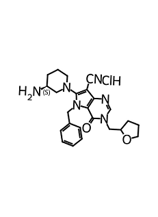 Cl.N#Cc1c(N2CCC[C@H](N)C2)n(Cc2ccccc2)c2c(=O)n(CC3CCCO3)cnc12